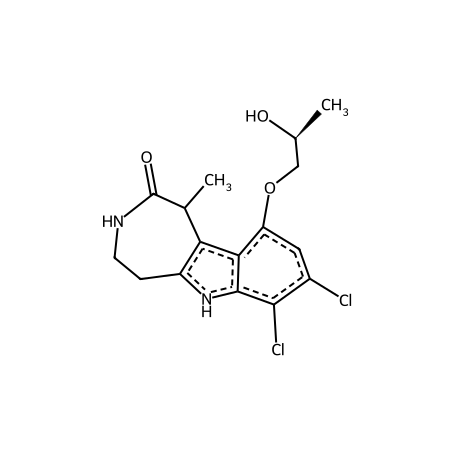 CC1C(=O)NCCc2[nH]c3c(Cl)c(Cl)cc(OC[C@H](C)O)c3c21